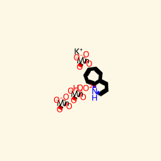 C1=CC=C2NC=CC=C2C=C1.[K+].[OH4+2].[O]=[Mn](=[O])(=[O])[O-].[O]=[Mn](=[O])(=[O])[O-].[O]=[Mn](=[O])(=[O])[O-]